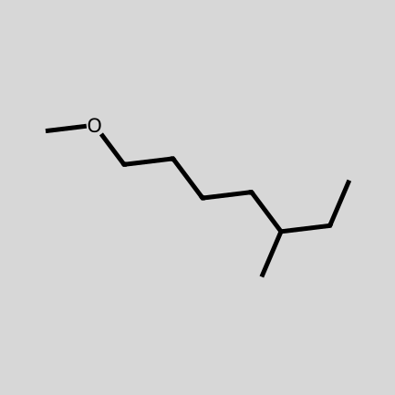 CCC(C)CCCCOC